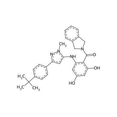 Cn1nc(-c2ccc(C(C)(C)C)cc2)cc1Nc1cc(O)cc(O)c1C(=O)N1Cc2ccccc2C1